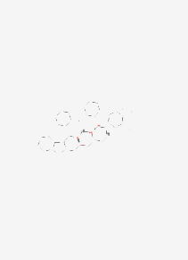 CC1(C)CCC(C)(C)c2cc3c(cc21)-c1cccc(N(c2ccccc2-c2cccc4oc5ccccc5c24)c2cccc4ccccc24)c1C3(C)C